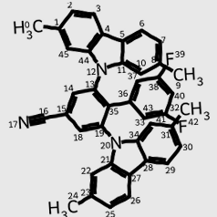 Cc1ccc2c3ccc(C)cc3n(-c3cc(C#N)cc(-n4c5cc(C)ccc5c5ccc(C)cc54)c3-c3cc(F)cc(F)c3)c2c1